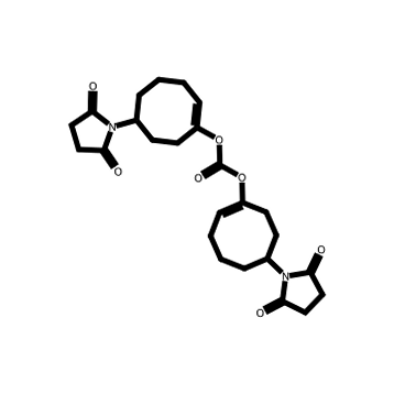 O=C(OC1=CCCCC(N2C(=O)CCC2=O)CC1)OC1=CCCCC(N2C(=O)CCC2=O)CC1